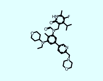 CCN(c1cc(-c2ccc(CN3CCOCC3)nc2)cc(N(C=O)Cc2c(C(C)C)c(F)c(C)[nH]c2=O)c1C)C1CCOCC1